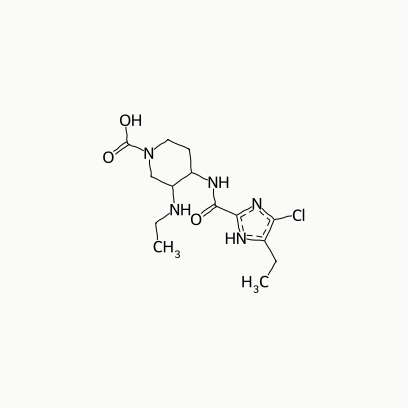 CCNC1CN(C(=O)O)CCC1NC(=O)c1nc(Cl)c(CC)[nH]1